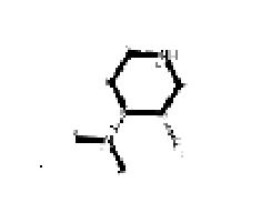 CN(C)[C@@H]1CCNC[C@@H]1F